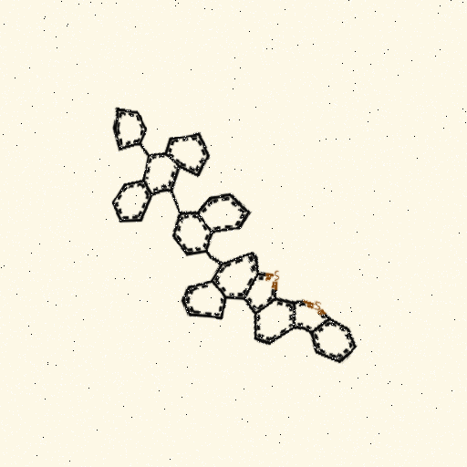 c1ccc(-c2c3ccccc3c(-c3ccc(-c4cc5sc6c(ccc7c8ccccc8sc76)c5c5ccccc45)c4ccccc34)c3ccccc23)cc1